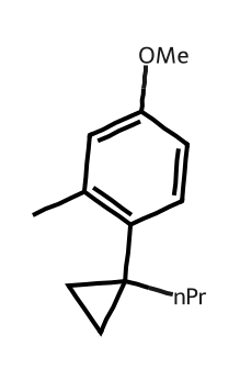 CCCC1(c2ccc(OC)cc2C)CC1